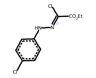 CCOC(=O)/C(Cl)=N/Nc1ccc(Cl)cc1